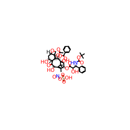 CC(=O)O[C@@]12CO[C@@H]1C[C@H](O)[C@@]1(C)C(=O)[C@H](O)C3=C(C)[C@@H](OC(=O)C(O)[C@@H](NC(=O)OC(C)(C)C)c4ccccc4)C[C@@](O)([C@@H](OC(=O)c4ccccc4)[C@H]21)C3(C)C.O=NOS(=O)(=O)O